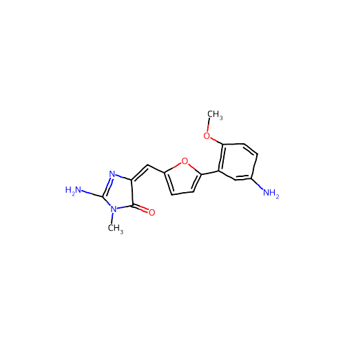 COc1ccc(N)cc1-c1ccc(/C=C2/N=C(N)N(C)C2=O)o1